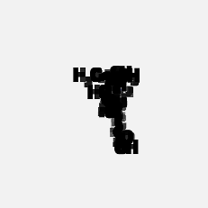 C=C(CCC)C(C)(O)C/C=C/[C@@H]1[C@H]2CC(CCCCC(=O)CO)O[C@H]2C[C@H]1O